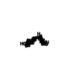 Cn1cc(C(=O)O)c(=O)c2cc(F)c(N3CCC(CCNS(=O)(=O)Cc4ccc5c(n4)NC(=O)CO5)CC3)nc21